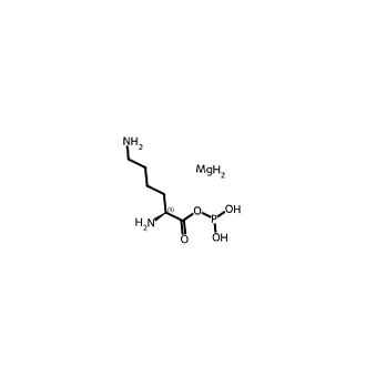 NCCCC[C@H](N)C(=O)OP(O)O.[MgH2]